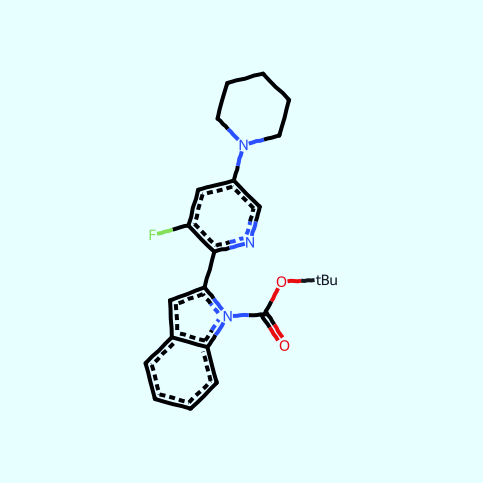 CC(C)(C)OC(=O)n1c(-c2ncc(N3CCCCC3)cc2F)cc2ccccc21